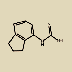 [NH]C(=S)Nc1cccc2c1CCC2